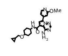 COc1cc(-c2cc(C(=O)NC3CCC(OCC4CC4)CC3)c3c(N)ncnn23)ccn1